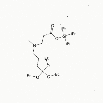 CCO[Si](CCCN(C)CCC(=O)O[Si](C(C)C)(C(C)C)C(C)C)(OCC)OCC